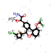 COC(C(N)=O)c1ccc2c(c1)C(c1ccc(Br)s1)Oc1cccc(OC(F)F)c1-2